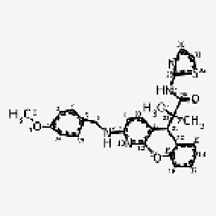 COc1ccc(CNc2ccc3c(n2)Oc2ccccc2C3C(C)(C)C(=O)Nc2nccs2)cc1